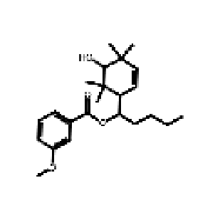 CCCCC(OC(=O)c1cccc(OC)c1)C1C=CC(C)(C)C(O)C1(C)C